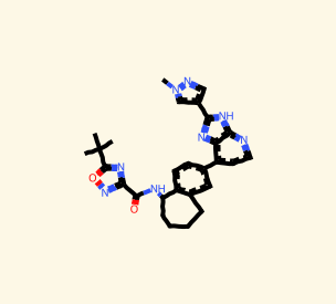 Cn1cc(-c2nc3c(-c4ccc5c(c4)CCCCC5NC(=O)c4noc(C(C)(C)C)n4)ccnc3[nH]2)cn1